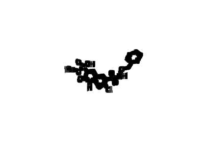 CCC(C)OP(=O)(O)c1cc2cc(S(=O)(=O)NOCc3ccccc3)c(Cl)cc2[nH]c1=O